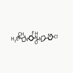 CN(C)C1CCN(c2ccc(NC(=O)N3CC=C(c4ccc(Cl)cn4)CC3)c(F)c2)C1